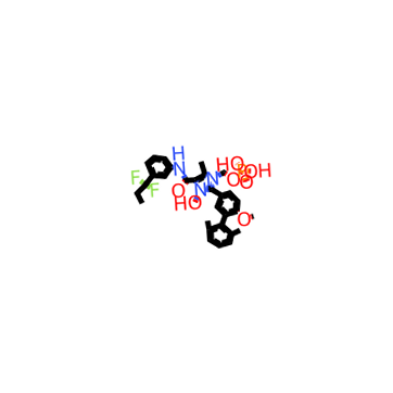 CCC(F)(F)c1cccc(NC(=O)c2c(C)n(COP(=O)(O)O)c(-c3ccc(OC)c(-c4c(C)cccc4C)c3)[n+]2O)c1